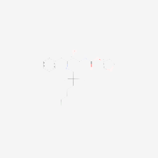 CC(C)(CCCCCl)CNC(Cc1ccccc1)[C@H](O)CNC(=O)O[C@H]1CCOC1